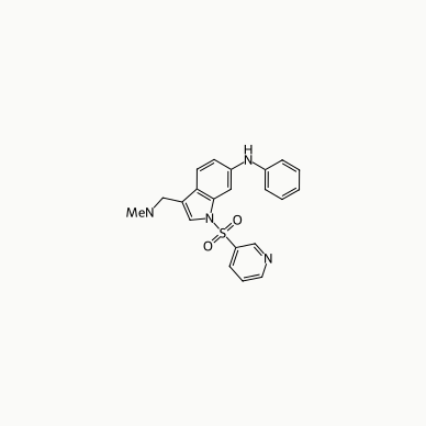 CNCc1cn(S(=O)(=O)c2cccnc2)c2cc(Nc3ccccc3)ccc12